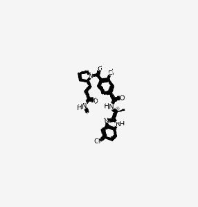 CNC(=O)CCC1CCCN1C(=O)c1ccc(C(=O)N[C@@H](C)c2nc3cc(Cl)ccc3[nH]2)cc1Cl